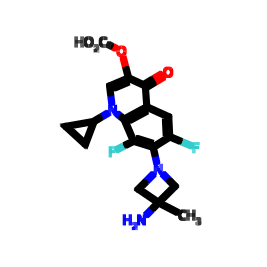 CC1(N)CN(c2c(F)cc3c(=O)c(OC(=O)O)cn(C4CC4)c3c2F)C1